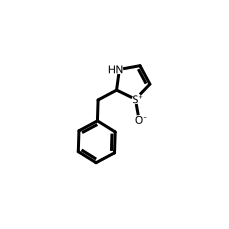 [O-][S+]1C=CNC1Cc1ccccc1